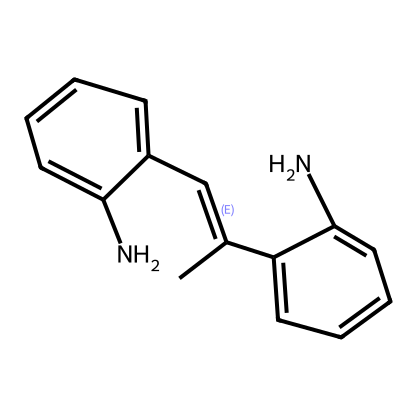 C/C(=C\c1ccccc1N)c1ccccc1N